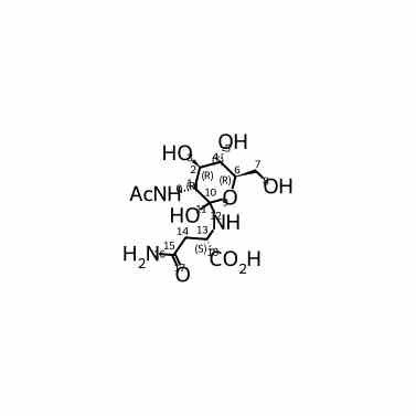 CC(=O)N[C@@H]1[C@@H](O)[C@H](O)[C@@H](CO)OC1(O)N[C@@H](CC(N)=O)C(=O)O